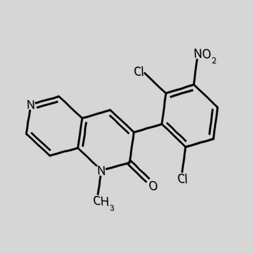 Cn1c(=O)c(-c2c(Cl)ccc([N+](=O)[O-])c2Cl)cc2cnccc21